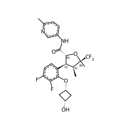 Cc1ccc(NC(=O)[C@@H]2O[C@@](C)(C(F)(F)F)[C@@H](C)[C@H]2c2ccc(F)c(F)c2O[C@H]2C[C@@H](O)C2)cn1